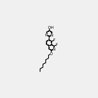 CCCCCCCCOc1cc2ccc(-c3ncc(O)cn3)c(F)c2c(F)n1